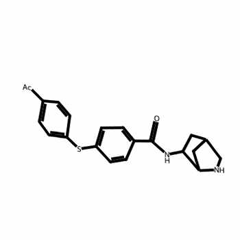 CC(=O)c1ccc(Sc2ccc(C(=O)NC3CC4CNC3C4)cc2)cc1